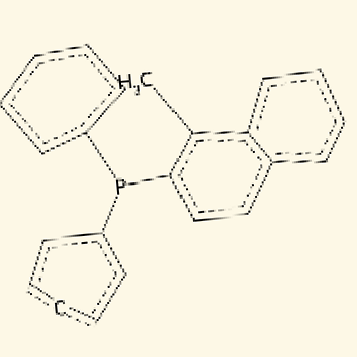 Cc1c(P(c2ccccc2)c2ccccc2)ccc2ccccc12